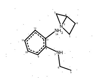 C1CN2CC12.CCNc1ccccc1N